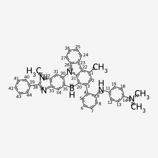 Cc1cc(-c2ccccc2Nc2ccc(N(C)C)cc2)c2c3c1c1ccccc1n3-c1cc3c(cc1B2)nc(-c1ccccc1)n3C